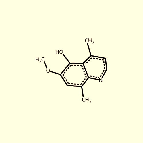 COc1cc(C)c2nccc(C)c2c1O